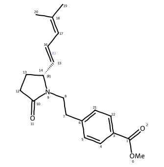 COC(=O)c1ccc(CCN2C(=O)CC[C@@H]2/C=C/C=C(C)C)cc1